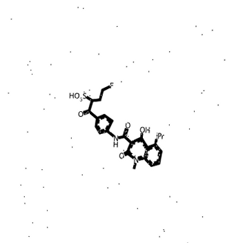 CC(C)c1cccc2c1c(O)c(C(=O)Nc1ccc(C(=O)C(CCF)S(=O)(=O)O)cc1)c(=O)n2C